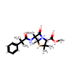 COC1(NC(=O)C(C)(C)c2ccccc2)C(=O)N2[C@@H](C(=O)OC(C)(C)C)C(C)(C)S[C@@H]21